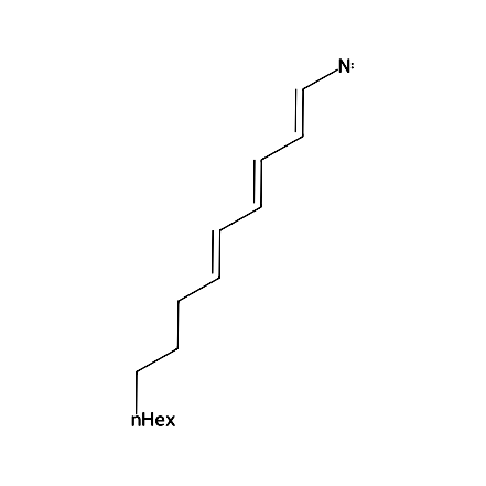 CCCCCCCCCC=CC=CC=C[N]